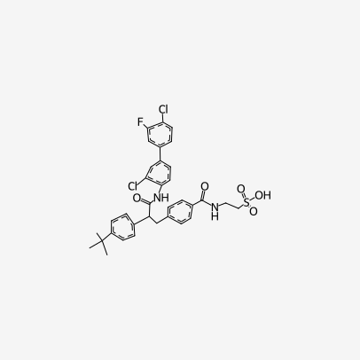 CC(C)(C)c1ccc(C(Cc2ccc(C(=O)NCCS(=O)(=O)O)cc2)C(=O)Nc2ccc(-c3ccc(Cl)c(F)c3)cc2Cl)cc1